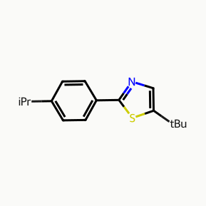 CC(C)c1ccc(-c2ncc(C(C)(C)C)s2)cc1